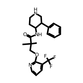 CC(C)(COc1ncccc1C(F)(F)F)C(=O)NC1CCNCC1c1ccccc1